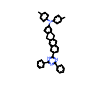 Cc1ccc(N(c2ccc(C)cc2)c2ccc3c(c2)Cc2cc4ccc(-c5nc(-c6ccccc6)nc(-c6ccccc6)n5)cc4cc2C3)cc1